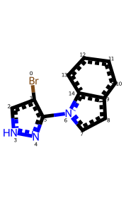 Brc1c[nH]nc1-n1ccc2ccccc21